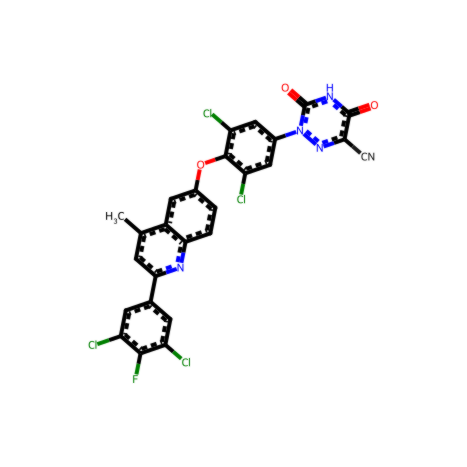 Cc1cc(-c2cc(Cl)c(F)c(Cl)c2)nc2ccc(Oc3c(Cl)cc(-n4nc(C#N)c(=O)[nH]c4=O)cc3Cl)cc12